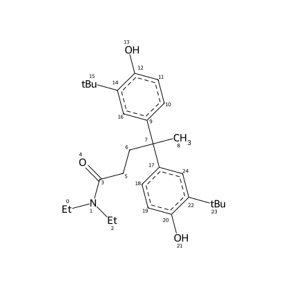 CCN(CC)C(=O)CCC(C)(c1ccc(O)c(C(C)(C)C)c1)c1ccc(O)c(C(C)(C)C)c1